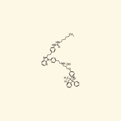 CCCCCCNC(=O)Nc1ccc(CCc2nc3cccnc3n2-c2ccc(CCNC[C@H](O)COc3ccc(O[Si](c4ccccc4)(c4ccccc4)C(C)(C)C)cc3)cc2)cc1